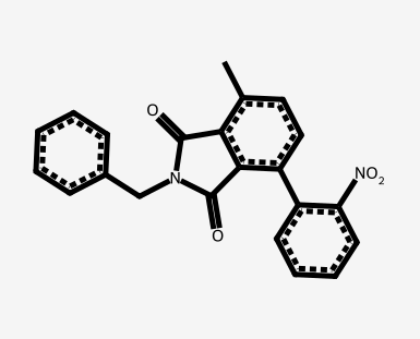 Cc1ccc(-c2ccccc2[N+](=O)[O-])c2c1C(=O)N(Cc1ccccc1)C2=O